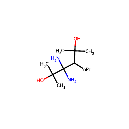 CCCC(C(C)(C)O)C(N)(N)C(C)(C)O